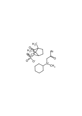 CC(C)C(=O)C[S+](C)C1CCCCC1.CC12CCC(C(S(=O)(=O)[O-])C1=O)C2(C)C